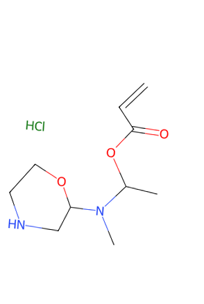 C=CC(=O)OC(C)N(C)C1CNCCO1.Cl